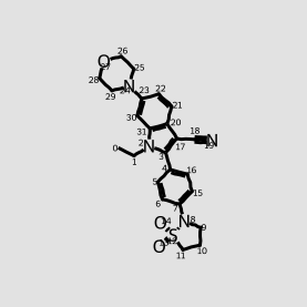 CCn1c(-c2ccc(N3CCCS3(=O)=O)cc2)c(C#N)c2ccc(N3CCOCC3)cc21